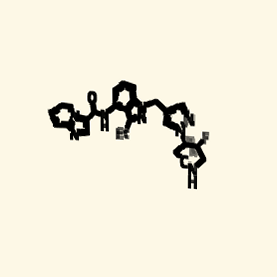 CCc1nn(Cc2cnn([C@@H]3CCNC[C@@H]3F)c2)c2cccc(NC(=O)c3cnc4ccccn34)c12